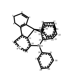 C1=CC2=C(CC1)c1cccc3c1C2(c1ccccc1)c1ccccc1N3c1ccccc1